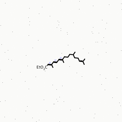 CCOC(=O)/C=C(C)/C=C/C=C(\C)CCCC(C)CCC=C(C)C